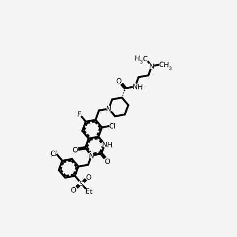 CCS(=O)(=O)c1ccc(Cl)cc1Cn1c(=O)[nH]c2c(Cl)c(CN3CCC[C@@H](C(=O)NCCN(C)C)C3)c(F)cc2c1=O